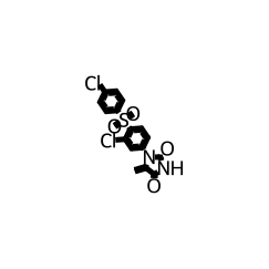 C=C1C(=O)NC(=O)N1c1ccc(S(=O)(=O)c2ccc(Cl)cc2)c(Cl)c1